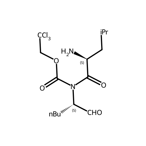 CCCC[C@@H](C=O)N(C(=O)OCC(Cl)(Cl)Cl)C(=O)[C@@H](N)CC(C)C